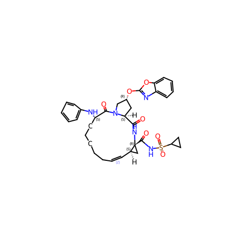 O=C1N[C@]2(C(=O)NS(=O)(=O)C3CC3)C[C@H]2/C=C\CCCCC[C@H](Nc2ccccc2)C(=O)N2C[C@H](Oc3nc4ccccc4o3)C[C@@H]12